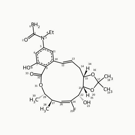 BC(=O)N(CC)c1cc(O)c2c(c1)/C=C/C[C@@H]1OC(C)(C)O[C@@H]1[C@H](O)/C(F)=C\[C@@H](C)[C@H](C)OC2=O